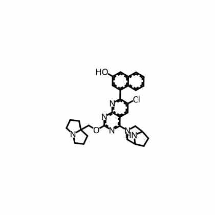 Oc1cc(-c2nc3nc(OCC45CCCN4CCC5)nc(N4CC5CCC(C4)N5)c3cc2Cl)c2ccccc2c1